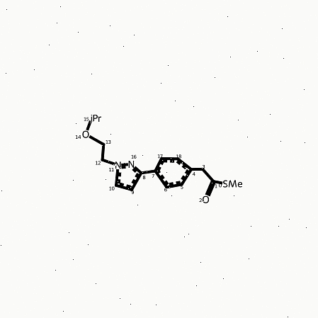 CSC(=O)Cc1ccc(-c2ccn(CCOC(C)C)n2)cc1